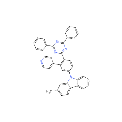 Cc1ccc2c3ccccc3n(-c3ccc(-c4nc(-c5ccccc5)nc(-c5ccccc5)n4)c(-c4ccncc4)c3)c2c1